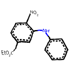 CCOC(=O)c1ccc([N+](=O)[O-])c(Nc2ccccc2)c1